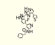 O=C(Cc1ccccc1)Nc1cncc(-c2ccc3[nH]nc(-c4nc5c(-c6ccsc6)ccnc5[nH]4)c3c2F)c1